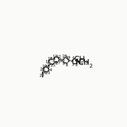 C=N/C=C\C(=C/C)c1ccc(-c2ccc3ccc(-c4ccc(I)cc4)cc3c2)cc1